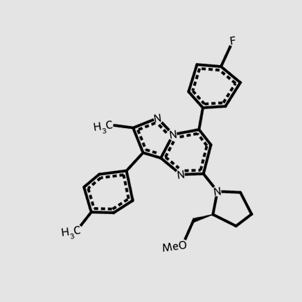 COC[C@@H]1CCCN1c1cc(-c2ccc(F)cc2)n2nc(C)c(-c3ccc(C)cc3)c2n1